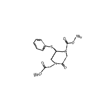 COC(=O)CN1CC(Sc2ccccc2)N(C(=O)OC(C)(C)C)CC1=O